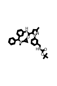 Cc1cc(C(=O)Nc2cccc(C(c3ccccc3)N(C)C3CC3)c2)n(-c2cccc(CNC(=O)OC(C)(C)C)c2)n1